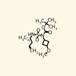 C=CC[C@H](C)NS(=O)(=O)N(C(=O)OC(C)(C)C)C1CC(OC)C1